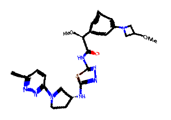 COC1CN(c2cccc([C@H](OC)C(=O)Nc3nnc(N[C@@H]4CCN(c5ccc(C)nn5)C4)s3)c2)C1